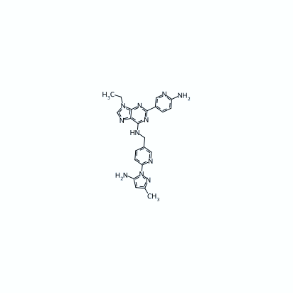 CCn1cnc2c(NCc3ccc(-n4nc(C)cc4N)nc3)nc(-c3ccc(N)nc3)nc21